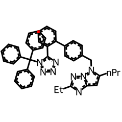 CCCc1cc2nc(CC)nn2n1Cc1ccc(-c2ccccc2-c2nnnn2C(c2ccccc2)(c2ccccc2)c2ccccc2)cc1